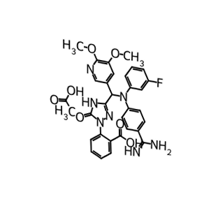 CC(=O)O.COc1cc(C(c2nn(-c3ccccc3C(=O)O)c(=O)[nH]2)N(c2ccc(C(=N)N)cc2)c2cccc(F)c2)cnc1OC